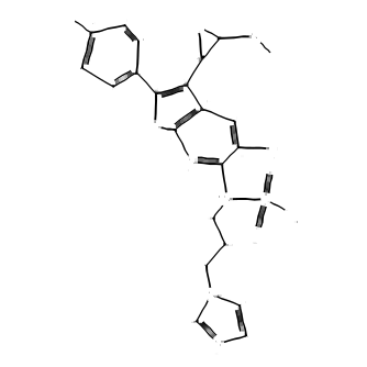 CNC1OC1c1c(-c2ccc(F)cc2)oc2nc(N(CCCn3ccnc3)S(C)(=O)=O)c(I)cc12